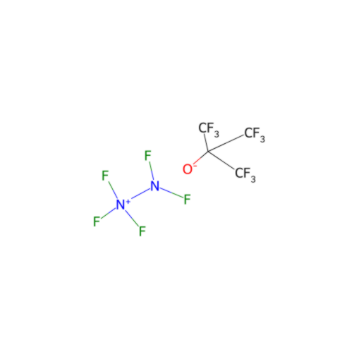 FN(F)[N+](F)(F)F.[O-]C(C(F)(F)F)(C(F)(F)F)C(F)(F)F